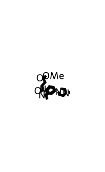 COC(=O)CCn1c(=O)nc(C)c2cc(N3CCN(C)CC3)ccc21